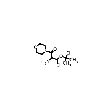 CC(OC(C)(C)C)C(N)C(=O)N1CCOCC1